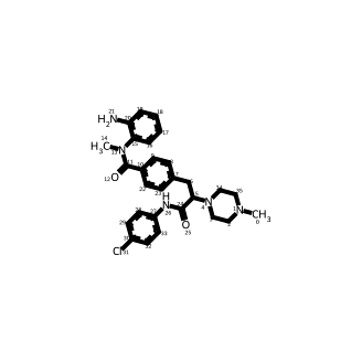 CN1CCN(C(Cc2ccc(C(=O)N(C)c3ccccc3N)cc2)C(=O)Nc2ccc(Cl)cc2)CC1